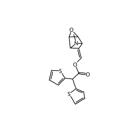 CN1C2C(=COC(=O)C(c3cccs3)c3cccs3)C1C1OC12